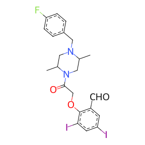 CC1CN(C(=O)COc2c(I)cc(I)cc2C=O)C(C)CN1Cc1ccc(F)cc1